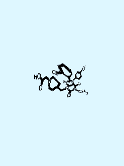 Cn1c(=O)c2c(nc(-c3ccccc3Cl)n2-c2ccc(Cl)cc2)n(CC2CCN(CC(=O)O)CC2)c1=O